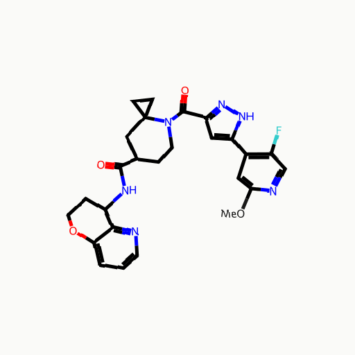 COc1cc(-c2cc(C(=O)N3CCC(C(=O)NC4CCOc5cccnc54)CC34CC4)n[nH]2)c(F)cn1